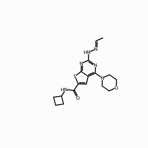 C/C=N/Nc1nc(N2CCOCC2)c2cc(C(=O)NC3CCC3)sc2n1